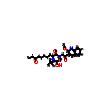 CCC(=O)CCCCCC(C(=O)NCC(=O)c1cc2ccccc2nc1OC)N(C(=O)O)C(C)(C)C